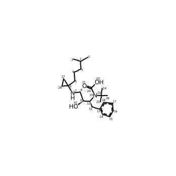 CC(C)CCCC1(NC[C@H](O)[C@H](Cc2ccccc2)N(C(=O)O)C(C)(C)C)CC1